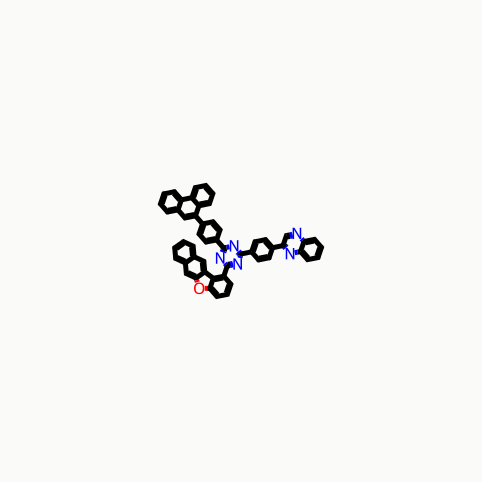 c1ccc2cc3c(cc2c1)oc1cccc(-c2nc(-c4ccc(-c5cnc6ccccc6n5)cc4)nc(-c4ccc(-c5cc6ccccc6c6ccccc56)cc4)n2)c13